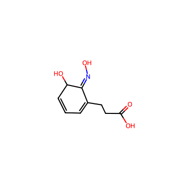 O=C(O)CCC1=CC=CC(O)C1=NO